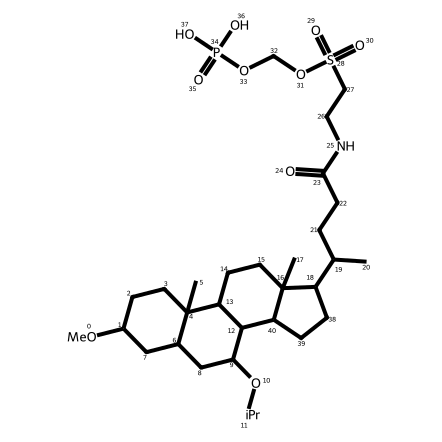 COC1CCC2(C)C(C1)CC(OC(C)C)C1C2CCC2(C)C(C(C)CCC(=O)NCCS(=O)(=O)OCOP(=O)(O)O)CCC12